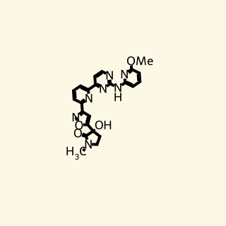 COc1cccc(Nc2nccc(-c3cccc(-c4cc([C@]5(O)CCN(C)C5=O)on4)n3)n2)n1